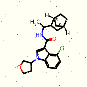 CC(NC(=O)c1cn(C2CCOC2)c2cccc(Cl)c12)C1C[C@H]2CC[C@@H]1C2